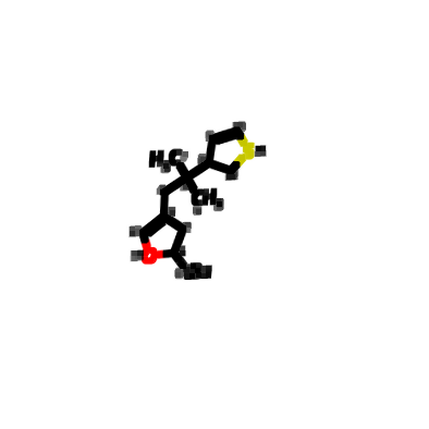 CC(C)(C)C1CC(CC(C)(C)C2C=CSC2)=CO1